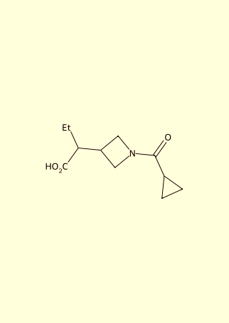 CCC(C(=O)O)C1CN(C(=O)C2CC2)C1